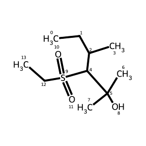 CCC(C)C(C(C)(C)O)S(=O)(=O)CC